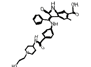 Cc1cc2c(cc1C(=O)O)NC(=O)C2=C(Nc1ccc(C(=O)NC2CCN(CCO)CC2)cc1)c1ccccc1